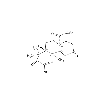 [C-]#[N+]C1=C[C@]2(C)C3=CC(=O)CC[C@]3(C(=O)OC)CC[C@H]2C(C)(C)C1=O